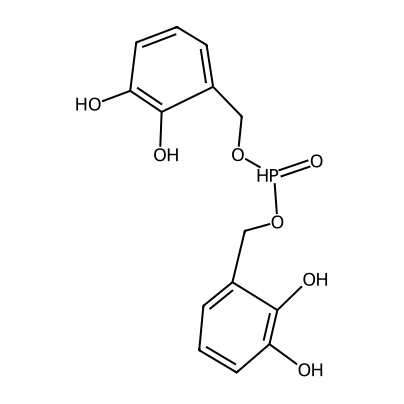 O=[PH](OCc1cccc(O)c1O)OCc1cccc(O)c1O